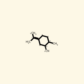 CC(C)=C1CCC(C)C(C#N)C1